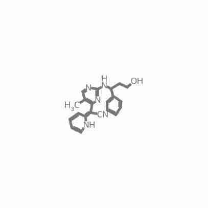 Cc1cnc(NC(CCO)c2ccccc2)nc1C(C#N)=C1C=CC=CN1